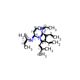 B/C(C)=C/c1c(C=C)c(C=C)c(/N=C\C)n1C(/C=C\C)=N/C(B)=C\C